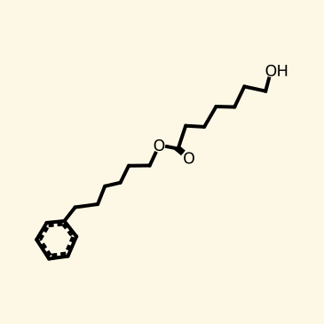 O=C(CCCCCCO)OCCCCCCc1ccccc1